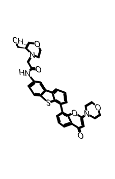 CC[C@H]1COCCN1CC(=O)Nc1ccc2sc3c(-c4cccc5c(=O)cc(N6CCOCC6)oc45)cccc3c2c1